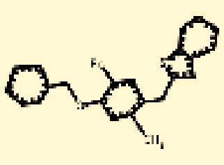 Cc1cc(OCc2ccccc2)c(Br)cc1Cc1cc2ccccc2s1